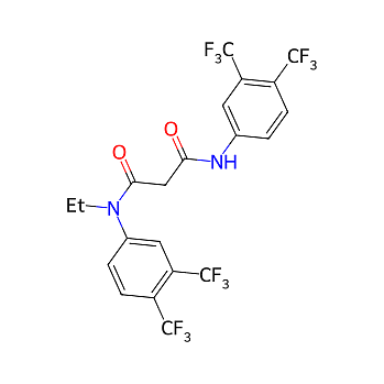 CCN(C(=O)CC(=O)Nc1ccc(C(F)(F)F)c(C(F)(F)F)c1)c1ccc(C(F)(F)F)c(C(F)(F)F)c1